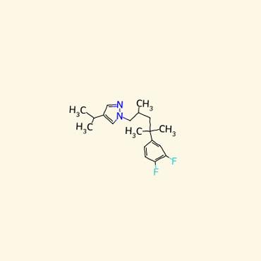 CC(Cn1cc(C(C)C)cn1)CC(C)(C)c1ccc(F)c(F)c1